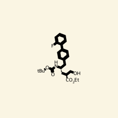 CCOC(=O)[C@H](CO)C[C@@H](Cc1ccc(-c2ccccc2F)cc1)NC(=O)OC(C)(C)C